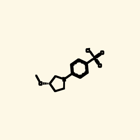 CO[C@H]1CCN(c2ccc(S(=O)(=O)Cl)cc2)C1